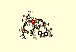 CC[C@H](CC(C)C)C(=O)N[C@H]1C(=O)C[C@@H](CC(N)=O)C(=O)N[C@H]2C(=O)CC3C(=O)N[C@H](C(=O)N[C@H](C(=O)O)c4cc(O)cc(O)c4-c4cc3ccc4O)[C@H](O)c3ccc(c(Cl)c3)Oc3cc2cc(c3O[C@@H]2O[C@H](CO)[C@@H](O)[C@H](O)[C@H]2O[C@H]2C[C@](C)(N)[C@H](O)[C@H](C)O2)Oc2ccc(cc2Cl)[C@H]1O